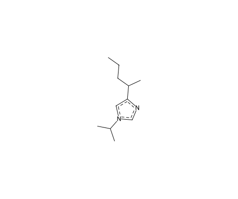 CCCC(C)c1cn(C(C)C)cn1